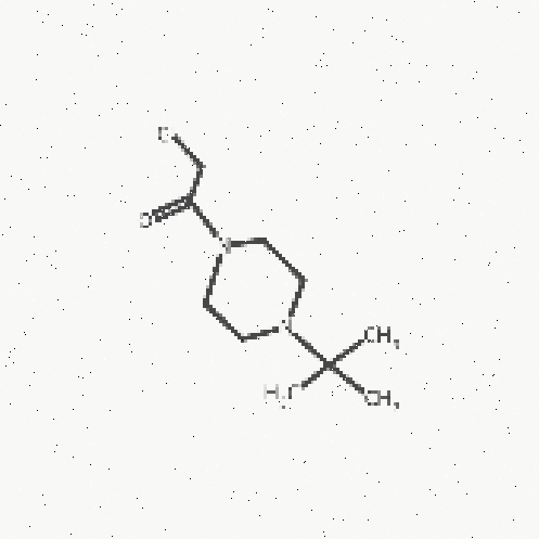 CC(C)(C)N1CCN(C(=O)CCl)CC1